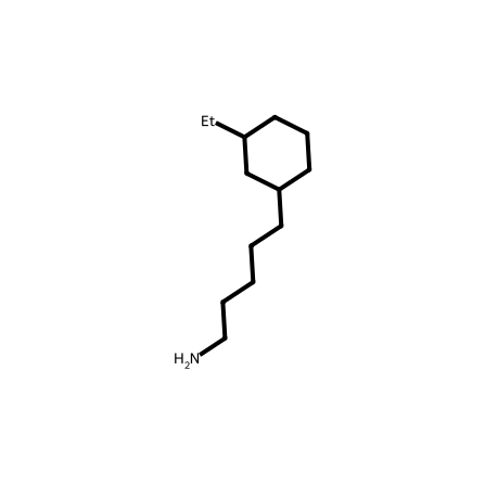 CCC1CCCC(CCCCCN)C1